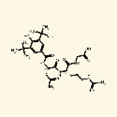 CC(C)(C)c1cc(C(=O)N[C@@H](CC(N)=O)C(=O)N[C@@H](CCCNC(=N)N)C(=O)NCC(=O)O)cc(C(C)(C)C)c1O